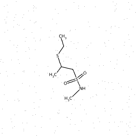 CCSC(C)CS(=O)(=O)NC